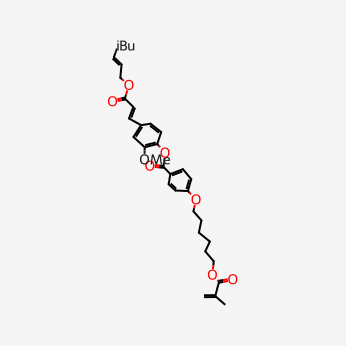 C=C(C)C(=O)OCCCCCCOc1ccc(C(=O)Oc2ccc(/C=C/C(=O)OC/C=C/C(C)CC)cc2OC)cc1